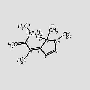 C=C(NC)/C(C)=C1/C=CN(C)C1(C)C